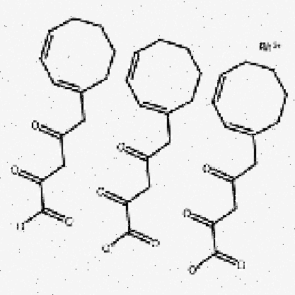 O=C(CC(=O)C(=O)[O-])C/C1=C/C=C\CCCC1.O=C(CC(=O)C(=O)[O-])C/C1=C/C=C\CCCC1.O=C(CC(=O)C(=O)[O-])C/C1=C/C=C\CCCC1.[Rh+3]